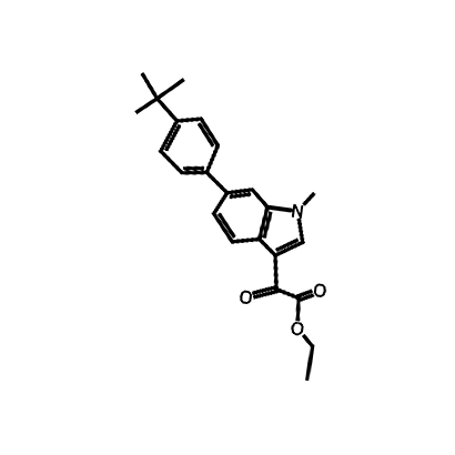 CCOC(=O)C(=O)c1cn(C)c2cc(-c3ccc(C(C)(C)C)cc3)ccc12